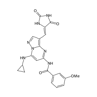 COc1cccc(C(=O)Nc2cc(NC3CC3)n3ncc(/C=C4\NC(=O)NC4=O)c3n2)c1